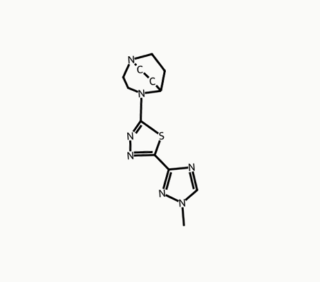 Cn1cnc(-c2nnc(N3CCN4CCC3CC4)s2)n1